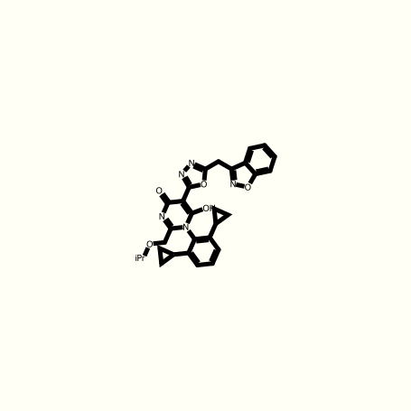 CC(C)OCc1nc(=O)c(-c2nnc(Cc3noc4ccccc34)o2)c(O)n1-c1c(C2CC2)cccc1C1CC1